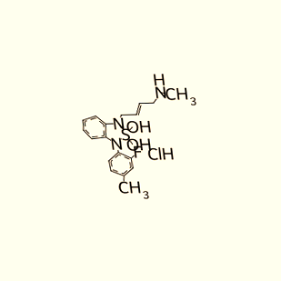 CNCC=CCN1c2ccccc2N(c2ccc(C)cc2F)S1(O)O.Cl